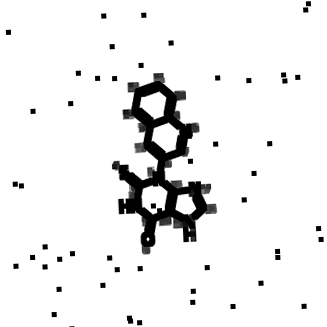 O=c1[nH]c(=S)n(-c2cnc3ccccc3c2)c2nc[nH]c12